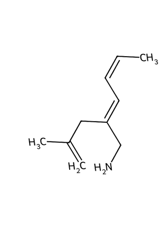 C=C(C)C/C(=C\C=C/C)CN